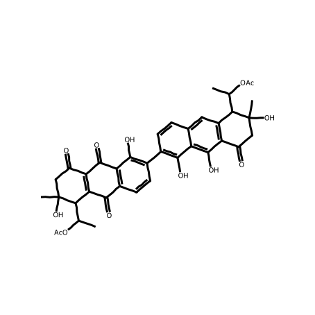 CC(=O)OC(C)C1C2=C(C(=O)CC1(C)O)C(=O)c1c(ccc(-c3ccc4cc5c(c(O)c4c3O)C(=O)CC(C)(O)C5C(C)OC(C)=O)c1O)C2=O